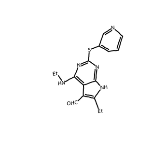 CCNc1nc(Sc2cccnc2)nc2[nH]c(CC)c(C=O)c12